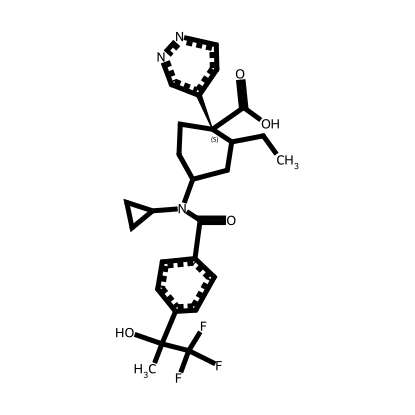 CCC1CC(N(C(=O)c2ccc(C(C)(O)C(F)(F)F)cc2)C2CC2)CC[C@@]1(C(=O)O)c1ccnnc1